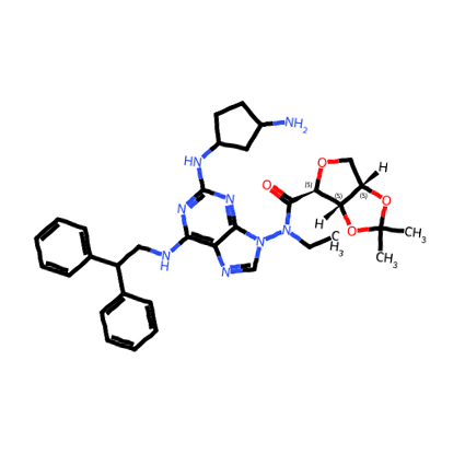 CCN(C(=O)[C@H]1OC[C@@H]2OC(C)(C)O[C@@H]21)n1cnc2c(NCC(c3ccccc3)c3ccccc3)nc(NC3CCC(N)C3)nc21